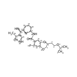 CC(C)OCCC1COc2cc(F)c(C(=O)Nc3cccc(C(=N)N(C=N)C(C)C)n3)cc2O1